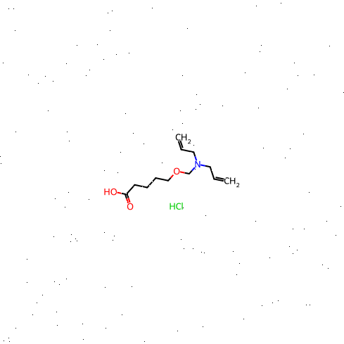 C=CCN(CC=C)COCCCCC(=O)O.Cl